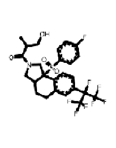 CC(CO)C(=O)N1CC2CCc3cc(C(F)(C(F)(F)F)C(F)(F)F)ccc3C2(S(=O)(=O)c2ccc(F)cc2)C1